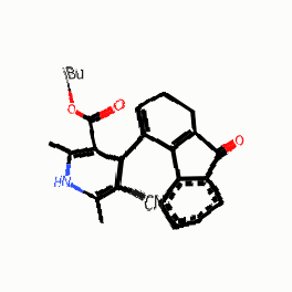 CC[C@H](C)OC(=O)C1=C(C)NC(C)=C(C#N)C1C1=CCCC2=C1c1ccccc1C2=O